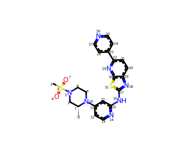 C[C@@H]1CN(S(C)(=O)=O)CCN1c1ccnc(Nc2nc3ccc(-c4ccncc4)nc3s2)c1